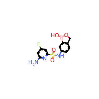 Nc1cc(F)cc(S(=O)(=O)Nc2ccc3c(c2)B(O)OC3)n1